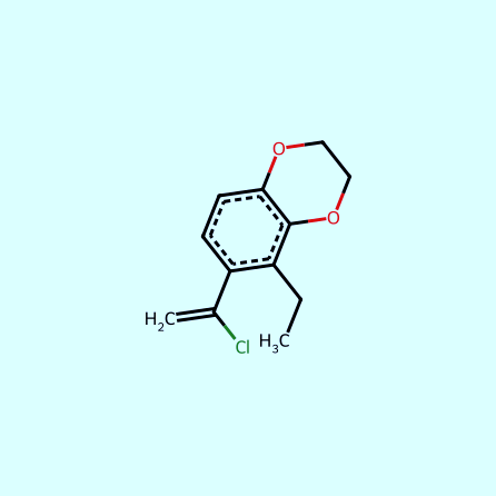 C=C(Cl)c1ccc2c(c1CC)OCCO2